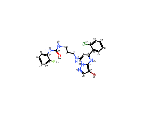 CN(CCCNc1cc(-c2ccccc2Cl)nc2c(Br)cnn12)C(=O)Nc1ccccc1F